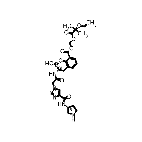 CCOC(C)(C)C(=O)OCOC(=O)c1cccc2c1OB(O)[C@@H](NC(=O)Cn1cc(C(=O)N[C@H]3CCNC3)nn1)C2